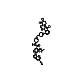 CC(C)Nc1cc(-n2ccc3cc(C#N)cnc32)ncc1C(=O)NC1CCN(CC2CCN(c3cccc4c3C(=O)N(N3CCC(=O)NC3=O)C4=O)CC2)CC1